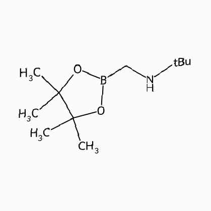 CC(C)(C)NCB1OC(C)(C)C(C)(C)O1